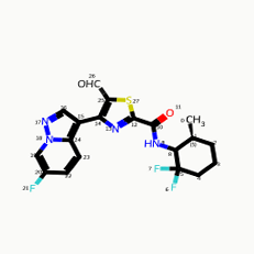 C[C@H]1CCCC(F)(F)C1NC(=O)c1nc(-c2cnn3cc(F)ccc23)c(C=O)s1